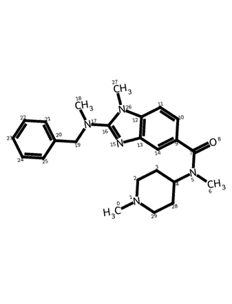 CN1CCC(N(C)C(=O)c2ccc3c(c2)nc(N(C)Cc2ccccc2)n3C)CC1